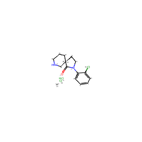 Cl.O=C1N(c2ccccc2Cl)CC[C@@]12CCCNC2.[Cl-].[H+]